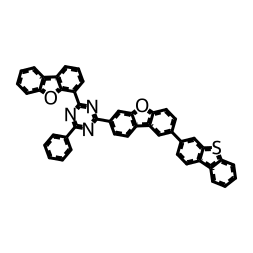 c1ccc(-c2nc(-c3ccc4c(c3)oc3ccc(-c5ccc6c(c5)sc5ccccc56)cc34)nc(-c3cccc4c3oc3ccccc34)n2)cc1